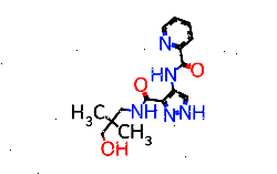 CC(C)(CO)CNC(=O)c1n[nH]cc1NC(=O)c1ccccn1